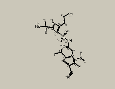 CC(C)c1cc(C#N)c(F)c(C(C)C)c1CC(=O)NS(=O)(=O)c1sc(C(C)(C)O)nc1CCO